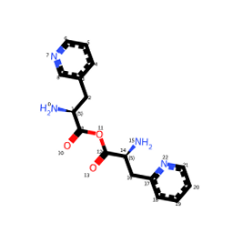 N[C@@H](Cc1cccnc1)C(=O)OC(=O)[C@@H](N)Cc1ccccn1